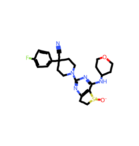 N#CC1(c2ccc(F)cc2)CCN(c2nc3c(c(NC4CCOCC4)n2)[S+]([O-])CC3)CC1